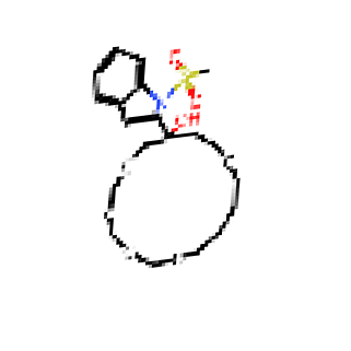 CS(=O)(=O)n1c(C2(O)CCCCCCCCCCCCCCC2)cc2ccccc21